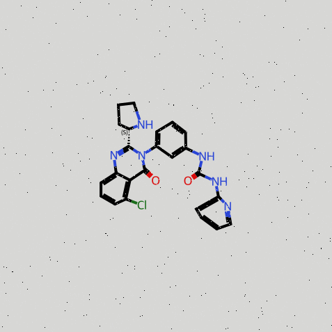 O=C(Nc1cccc(-n2c([C@@H]3CCCN3)nc3cccc(Cl)c3c2=O)c1)Nc1ccccn1